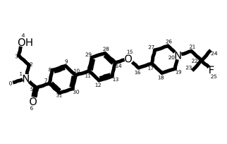 CN(CCO)C(=O)c1ccc(-c2ccc(OCC3CCN(CC(C)(C)F)CC3)cc2)cc1